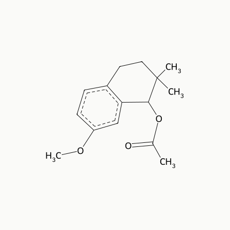 COc1ccc2c(c1)C(OC(C)=O)C(C)(C)CC2